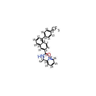 CC(NC(=O)c1ccc2c(-c3ccc(C(F)(F)F)cc3)cccc2c1)c1ccccn1